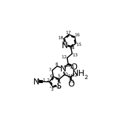 N#Cc1[c]sc2c1CCN(C(=O)CCc1ccccn1)C2C(N)=O